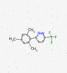 Cc1cc(C)c(-c2ccc(C(F)(F)F)nn2)c(C)c1